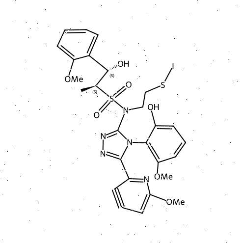 COc1cc#cc(-c2nnc(N(CCSI)S(=O)(=O)[C@@H](C)[C@@H](O)c3ccccc3OC)n2-c2c(O)cccc2OC)n1